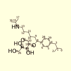 CC(C)Cc1ccc(C(CCCCCNC(C)C)O[C@@H](C=O)[C@H](O)[C@H](O)CO)cc1